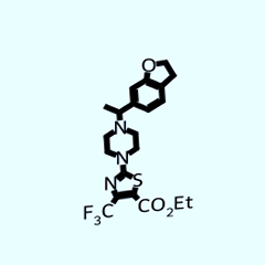 CCOC(=O)c1sc(N2CCN(C(C)c3ccc4c(c3)OCC4)CC2)nc1C(F)(F)F